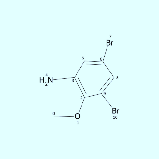 COc1c(N)cc(Br)cc1Br